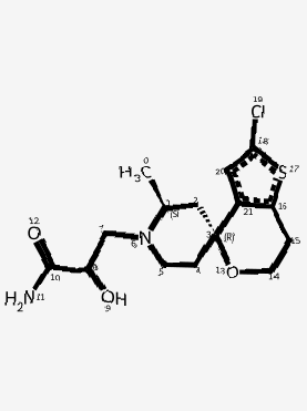 C[C@H]1C[C@@]2(CCN1CC(O)C(N)=O)OCCc1sc(Cl)cc12